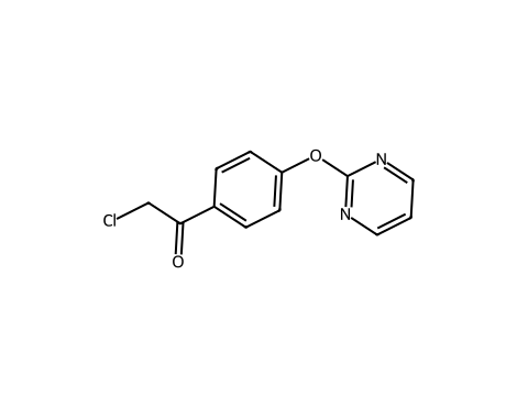 O=C(CCl)c1ccc(Oc2ncccn2)cc1